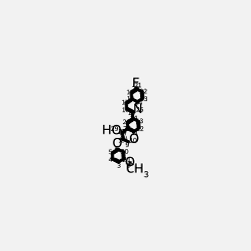 COc1cccc(O[C@@H]2COc3ccc(-c4ccc5cc(F)ccc5n4)cc3[C@@H]2O)c1